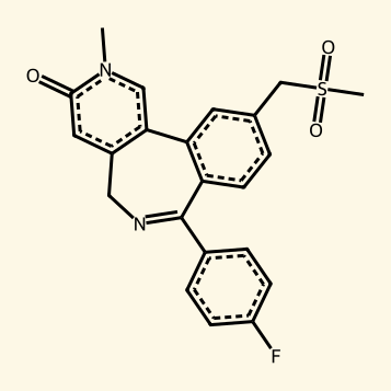 Cn1cc2c(cc1=O)CN=C(c1ccc(F)cc1)c1ccc(CS(C)(=O)=O)cc1-2